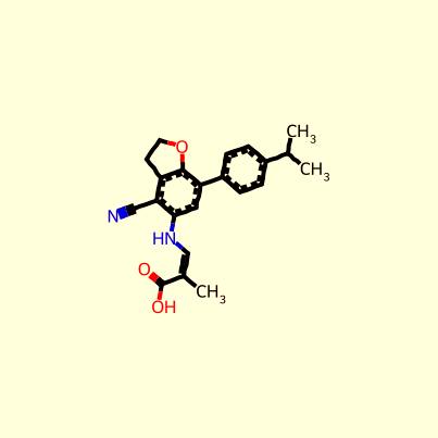 CC(=CNc1cc(-c2ccc(C(C)C)cc2)c2c(c1C#N)CCO2)C(=O)O